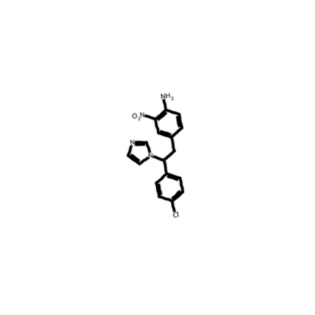 Nc1ccc(CC(c2ccc(Cl)cc2)n2ccnc2)cc1[N+](=O)[O-]